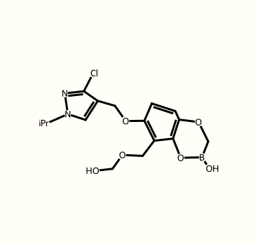 CC(C)n1cc(COc2ccc3c(c2COCO)OB(O)CO3)c(Cl)n1